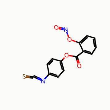 O=NOc1ccccc1C(=O)Oc1ccc(N=C=S)cc1